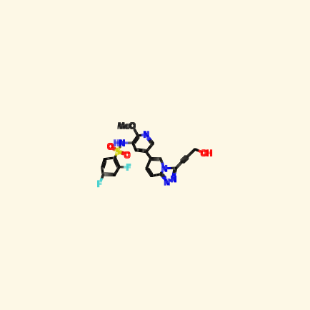 COc1ncc(-c2ccc3nnc(C#CCO)n3c2)cc1NS(=O)(=O)c1ccc(F)cc1F